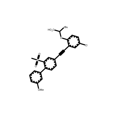 COc1cccc(-c2ccc(C#Cc3cc(Cl)ccc3OC(C(=O)O)C(C)(C)C)cc2S(C)(=O)=O)c1